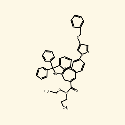 CCCN(OCC)C(=O)C1=Cc2ccc(-n3cc(SCc4ccccc4)cn3)cc2N=C(NC(c2ccccc2)(c2ccccc2)c2ccccc2)C1